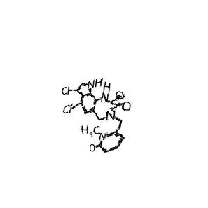 Cn1c(CN2Cc3cc(Cl)c4c(Cl)c[nH]c4c3NS2(=O)=O)cccc1=O